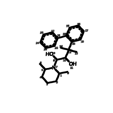 CC1CCCC(C)N1C(O)C(O)C(C)(C)c1ccccc1-c1ccccc1